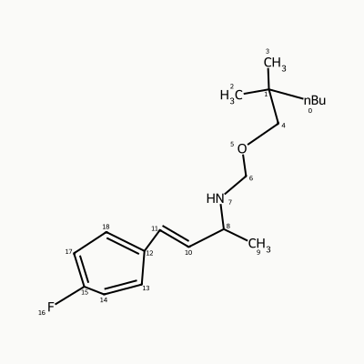 CCCCC(C)(C)COCNC(C)C=Cc1ccc(F)cc1